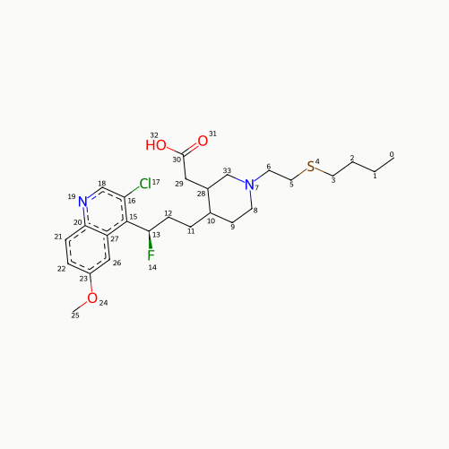 CCCCSCCN1CCC(CC[C@@H](F)c2c(Cl)cnc3ccc(OC)cc23)C(CC(=O)O)C1